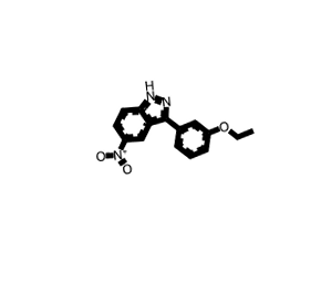 CCOc1cccc(-c2n[nH]c3ccc([N+](=O)[O-])cc23)c1